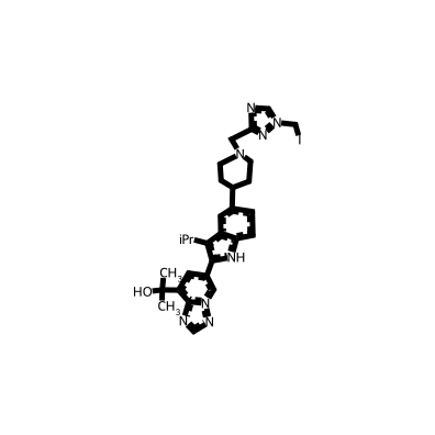 CC(C)c1c(-c2cc(C(C)(C)O)c3ncnn3c2)[nH]c2ccc(C3CCN(Cc4ncn(CI)n4)CC3)cc12